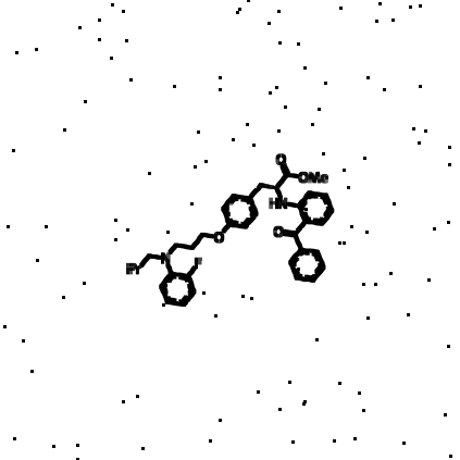 COC(=O)[C@H](Cc1ccc(OCCCN(CC(C)C)c2ccccc2F)cc1)Nc1ccccc1C(=O)c1ccccc1